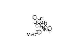 COc1cccc(C(=O)N(C(=O)OC(Cl)c2ccccc2C(F)(F)F)N(C(=O)c2cccc(C)c2)C(C)(C)C)c1C